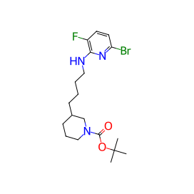 CC(C)(C)OC(=O)N1CCCC(CCCCNc2nc(Br)ccc2F)C1